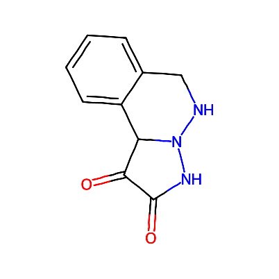 O=C1NN2NCc3ccccc3C2C1=O